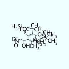 Cc1c(C)c(C(O)C[N+](=O)[O-])c(CO[SiH3])c(C(C)(C)C)c1O[Si](C)(C)C(C)(C)C